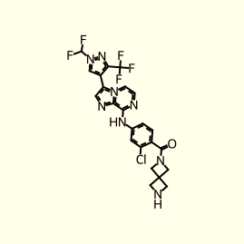 O=C(c1ccc(Nc2nccn3c(-c4cn(C(F)F)nc4C(F)(F)F)cnc23)cc1Cl)N1CC2(CNC2)C1